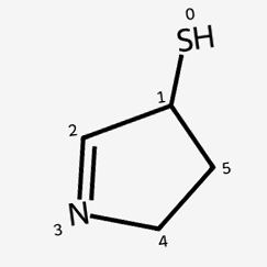 SC1C=NCC1